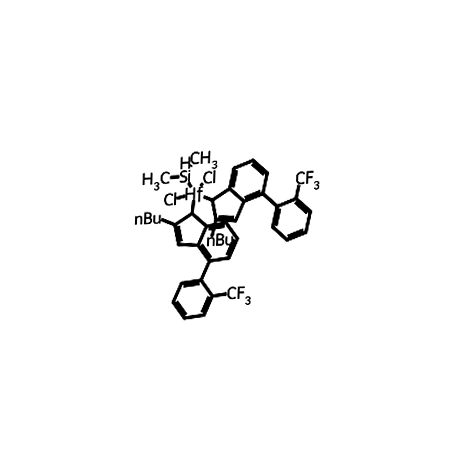 CCCCC1=Cc2c(-c3ccccc3C(F)(F)F)cccc2[CH]1[Hf]([Cl])([Cl])([CH]1C(CCCC)=Cc2c(-c3ccccc3C(F)(F)F)cccc21)[SiH](C)C